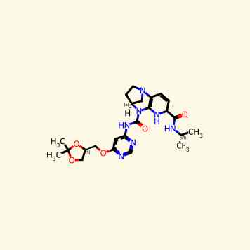 C[C@@H](NC(=O)C1C=CC2=C(N1)N(C(=O)Nc1cc(OC[C@H]3COC(C)(C)O3)ncn1)[C@H]1CCN2C1)C(F)(F)F